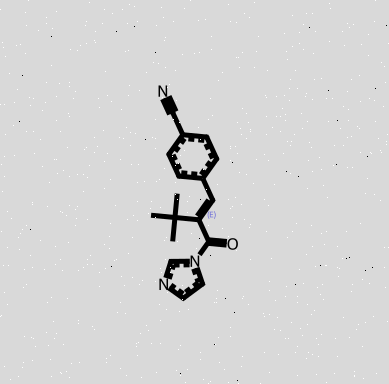 CC(C)(C)/C(=C\c1ccc(C#N)cc1)C(=O)n1ccnc1